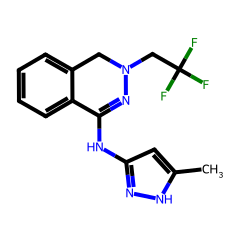 Cc1cc(NC2=NN(CC(F)(F)F)Cc3ccccc32)n[nH]1